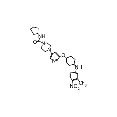 O=C(NC1CCCC1)N1CCN(c2cncc(O[C@H]3CC[C@H](Nc4ccc([N+](=O)[O-])c(C(F)(F)F)c4)CC3)c2)CC1